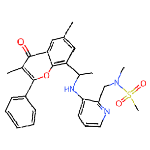 Cc1cc(C(C)Nc2cccnc2CN(C)S(C)(=O)=O)c2oc(-c3ccccc3)c(C)c(=O)c2c1